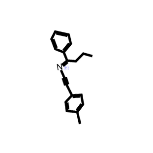 CCC/C(=N\C#Cc1ccc(C)cc1)c1ccccc1